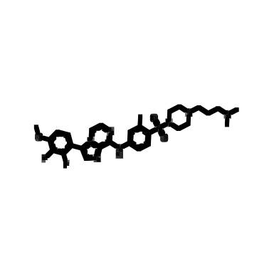 COc1ccc(-c2cnc3c(Nc4ccc(S(=O)(=O)N5CCN(CCCN(C)C)CC5)c(C)c4)nccn23)c(F)c1F